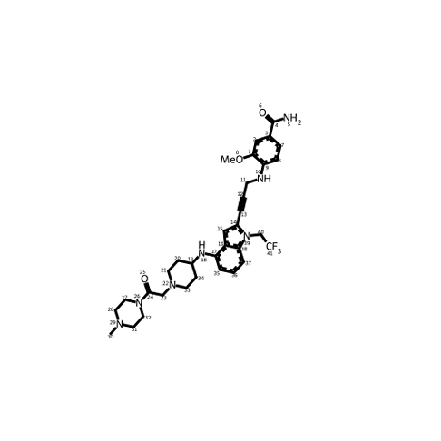 COc1cc(C(N)=O)ccc1NCC#Cc1cc2c(NC3CCN(CC(=O)N4CCN(C)CC4)CC3)cccc2n1CC(F)(F)F